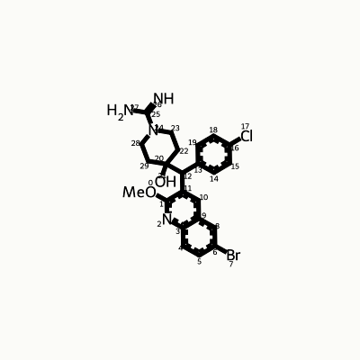 COc1nc2ccc(Br)cc2cc1C(c1ccc(Cl)cc1)C1(O)CCN(C(=N)N)CC1